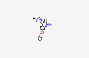 CN1CC2=c3ccc(OCc4ccccc4)cc3=CNC[C@H]2C1